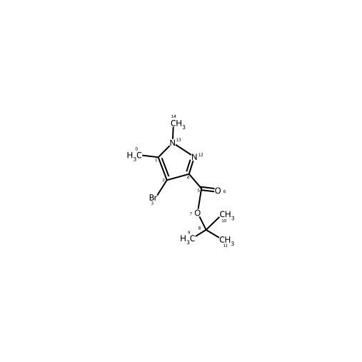 Cc1c(Br)c(C(=O)OC(C)(C)C)nn1C